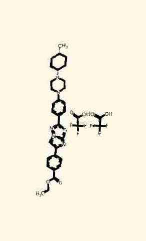 CCOC(=O)c1ccc(-c2cn3nc(-c4ccc(N5CCN([C@H]6CC[C@@H](C)CC6)CC5)cc4)sc3n2)cc1.O=C(O)C(F)(F)F.O=C(O)C(F)(F)F